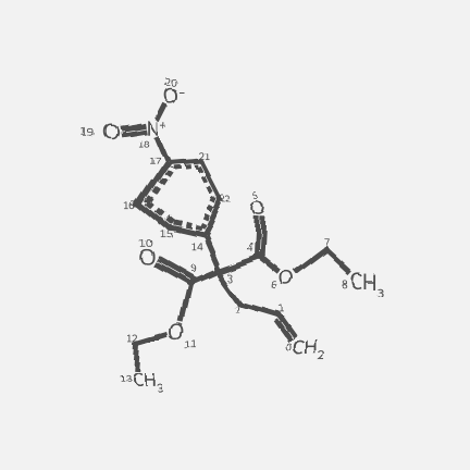 C=CCC(C(=O)OCC)(C(=O)OCC)c1ccc([N+](=O)[O-])cc1